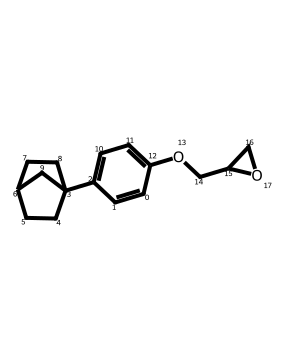 c1cc(C23CCC(CC2)C3)ccc1OCC1CO1